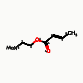 CC=CC(=O)OCCNC